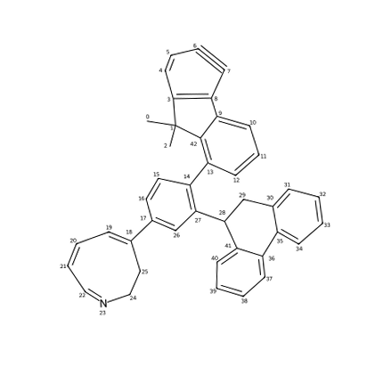 CC1(C)c2ccc#cc2-c2cccc(-c3ccc(/C4=C/C=C\C=N/CC4)cc3C3Cc4ccccc4-c4ccccc43)c21